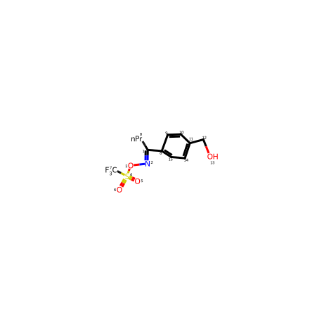 CCCC(=NOS(=O)(=O)C(F)(F)F)c1ccc(CO)cc1